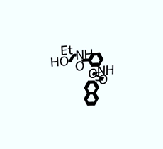 CCC(CO)NC(=O)c1cccc(NS(=O)(=O)c2ccc3ccccc3c2)c1